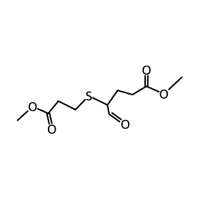 COC(=O)CCSC(C=O)CCC(=O)OC